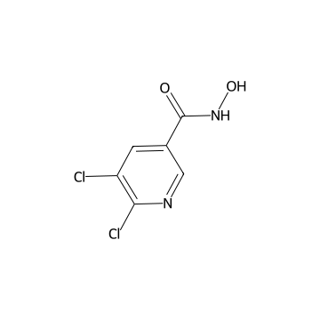 O=C(NO)c1cnc(Cl)c(Cl)c1